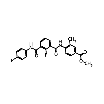 COC(=O)c1ccc(NC(=O)c2cccc(C(=O)Nc3ccc(F)cc3)c2F)c(C)c1